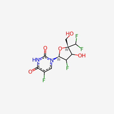 O=c1[nH]c(=O)n([C@H]2O[C@](CO)(C(F)F)C(O)C2F)cc1F